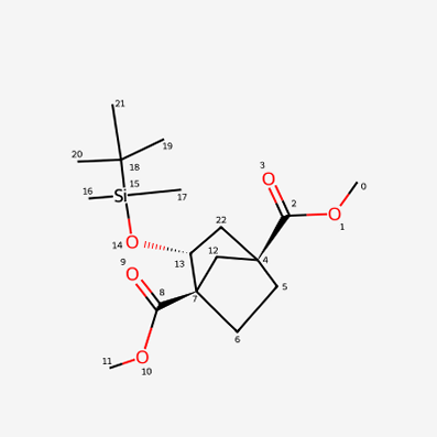 COC(=O)[C@@]12CC[C@@](C(=O)OC)(C1)[C@H](O[Si](C)(C)C(C)(C)C)C2